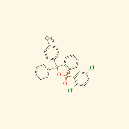 Cc1ccc(S(OS(=O)(=O)c2cc(Cl)ccc2Cl)(c2ccccc2)c2ccccc2)cc1